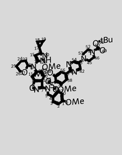 COc1ccc(CN(c2noc3cc(N(c4cc(C5CC5)n[nH]4)C4CCCCO4)c(OC)cc23)S(=O)(=O)c2c(OC)cc(-c3ncc(N4CCN(C(=O)OC(C)(C)C)CC4)cn3)cc2OC)cc1